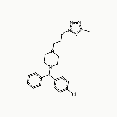 Cc1nnn(OCCN2CCN(C(c3ccccc3)c3ccc(Cl)cc3)CC2)n1